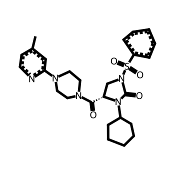 Cc1ccnc(N2CCN(C(=O)[C@@H]3CN(S(=O)(=O)c4ccccc4)C(=O)N3C3CCCCC3)CC2)c1